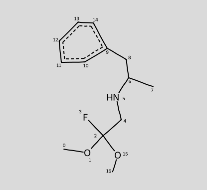 COC(F)(CNC(C)Cc1ccccc1)OC